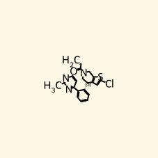 C=CC(=O)N1Cc2sc(Cl)cc2[C@H](c2ccccc2-c2ccnc(C)n2)C1